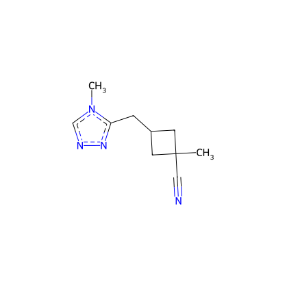 Cn1cnnc1CC1CC(C)(C#N)C1